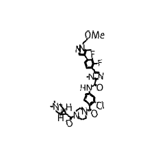 COCCn1ncc(-c2ccc(-c3cnc(C(=O)Nc4ccc(C(=O)N5CCN(C(=O)C6[C@H]7C[N+](C)(C)C[C@@H]67)CC5)c(Cl)c4)n3C)c(F)c2F)c1C